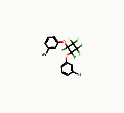 CCCc1cccc(OC2(F)C(F)(F)C(F)(F)C2(F)Oc2cccc(CC)c2)c1